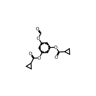 O=COc1cc(OC(=O)C2CC2)cc(OC(=O)C2CC2)c1